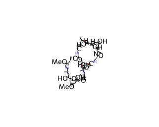 C#CC[C@H](/C=C/C(C)=C/[C@@H](O)[C@H]1C[C@@H](OC)C[C@@](O)(Cc2nc(/C=C(\C)[C@@H]3O[C@@H]4C/C=C/c5nc(co5)[C@H]5C[C@H](O)C[C@@H](C[C@H]6CC(=C)C[C@H](C/C=C\C(=O)O[C@@H]([C@H]4C)[C@H]3C)O6)O5)co2)O1)OC